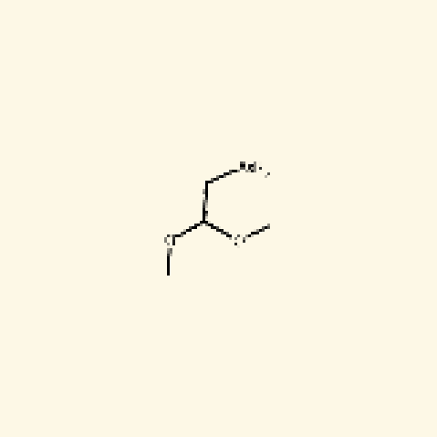 COC(C[AsH2])OC